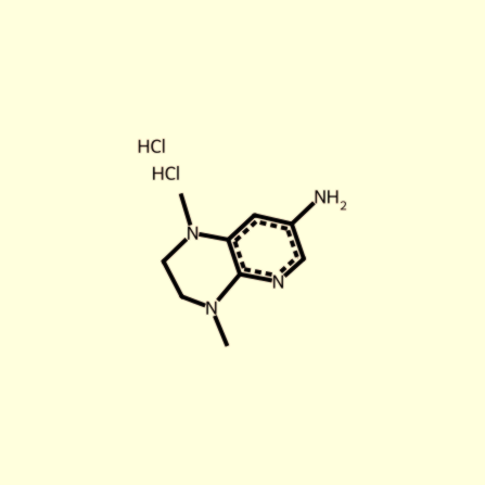 CN1CCN(C)c2ncc(N)cc21.Cl.Cl